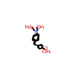 O=C(O)c1ccc(Cc2ccc(N(CCO)CCO)cc2)cc1